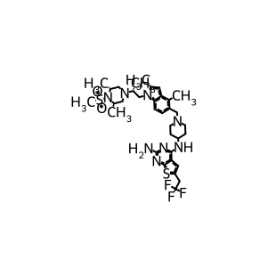 Cc1c(CN2CCC(Nc3nc(N)nc4sc(CC(F)(F)F)cc34)CC2)ccc2c1cc(C)n2C[C@@H](C)N1C[C@@H](C)N(S(C)(=O)=O)[C@H](C)C1